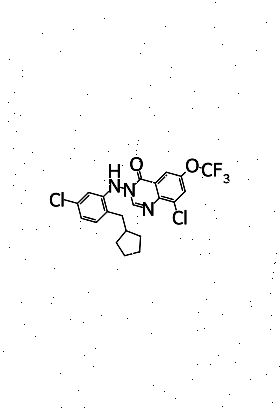 O=c1c2cc(OC(F)(F)F)cc(Cl)c2ncn1Nc1cc(Cl)ccc1CC1CCCC1